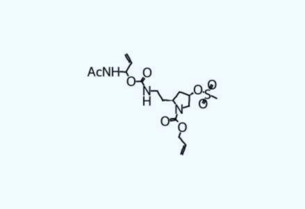 C=CCOC(=O)N1C[C@H](OS(C)(=O)=O)C[C@@H]1CCNC(=O)OC(C=C)NC(C)=O